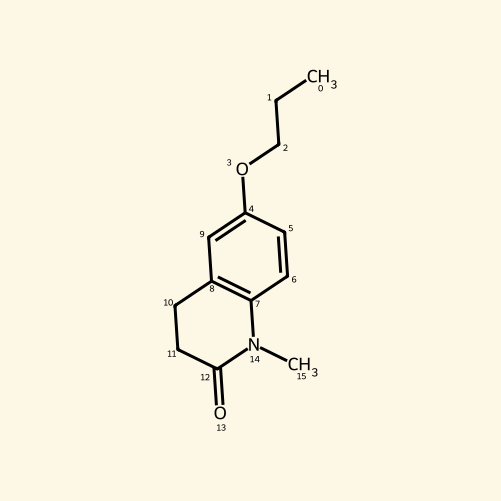 CCCOc1ccc2c(c1)CCC(=O)N2C